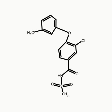 Cc1cccc(Oc2ccc(C(=O)NS(C)(=O)=O)cc2Cl)c1